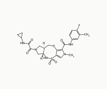 Cc1cc(NC(=O)c2c3c(cn2C)S(=O)(=O)N[C@@H]2CN(C(=O)C(=O)NC4CC4)C[C@H]2CO3)ccc1F